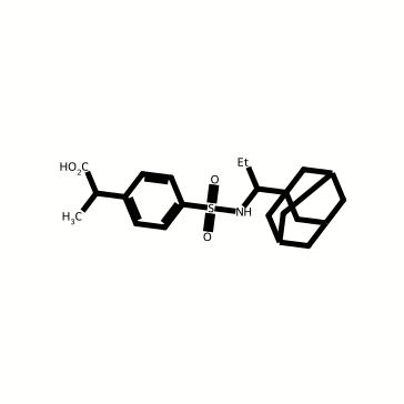 CCC(NS(=O)(=O)c1ccc(C(C)C(=O)O)cc1)C12CC3CC(CC(C3)C1)C2